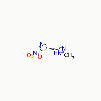 Cc1ncc(C#Cc2cncc(C(=O)N=S=O)c2)[nH]1